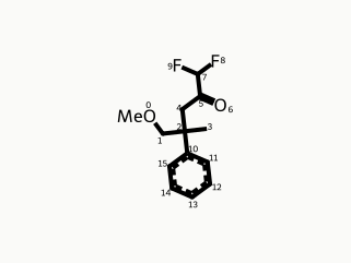 COCC(C)(CC(=O)C(F)F)c1ccccc1